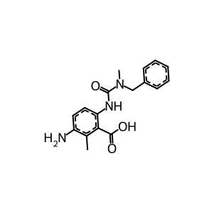 Cc1c(N)ccc(NC(=O)N(C)Cc2ccccc2)c1C(=O)O